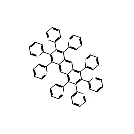 c1ccc(-c2c(-c3ccccn3)c(-c3ccccn3)c3cc4c(-c5ccccn5)c(-c5ccccn5)c(-c5ccccn5)c(-c5ccccn5)c4cc3c2-c2ccccn2)nc1